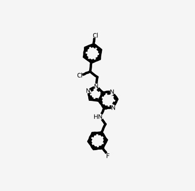 Fc1cccc(CNc2ncnc3c2cnn3CC(Cl)c2ccc(Cl)cc2)c1